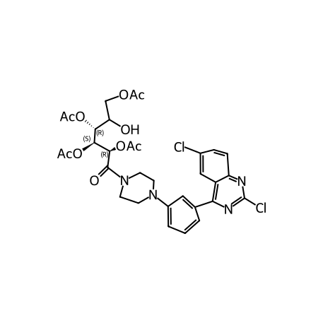 CC(=O)OCC(O)[C@@H](OC(C)=O)[C@H](OC(C)=O)[C@@H](OC(C)=O)C(=O)N1CCN(c2cccc(-c3nc(Cl)nc4ccc(Cl)cc34)c2)CC1